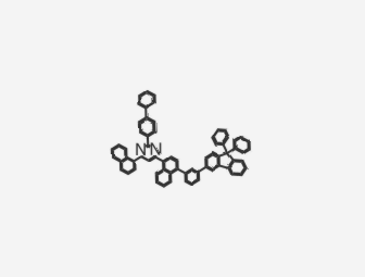 c1ccc(-c2ccc(-c3nc(-c4cccc5ccccc45)cc(-c4ccc(-c5cccc(-c6ccc7c(c6)-c6ccccc6C7(c6ccccc6)c6ccccc6)c5)c5ccccc45)n3)cc2)cc1